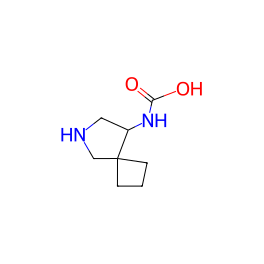 O=C(O)NC1CNCC12CCC2